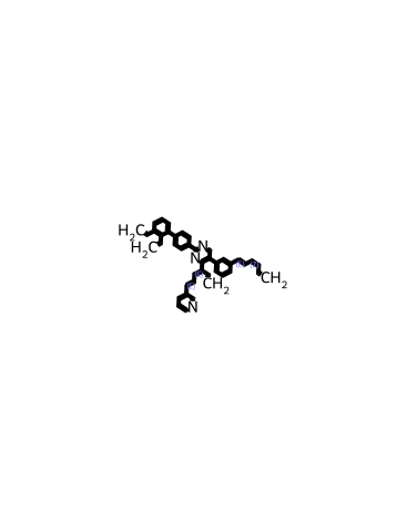 C=C/C=C\C=C\c1cccc(-c2cnc(-c3ccc(-c4cccc(C=C)c4C=C)cc3)nc2/C(C=C)=C/C=C/c2cccnc2)c1